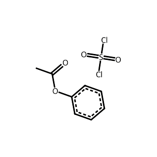 CC(=O)Oc1ccccc1.O=S(=O)(Cl)Cl